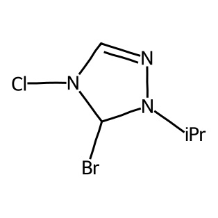 CC(C)N1N=CN(Cl)C1Br